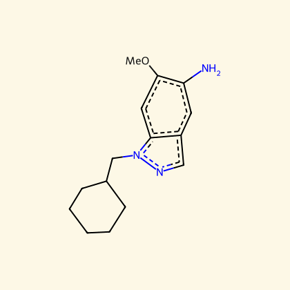 COc1cc2c(cnn2CC2CCCCC2)cc1N